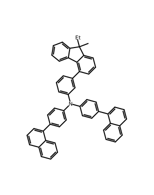 CCC1(C)c2ccccc2-c2c(-c3cccc(N(c4ccc(-c5cccc6ccccc56)cc4)c4ccc(-c5cccc6ccccc56)cc4)c3)cccc21